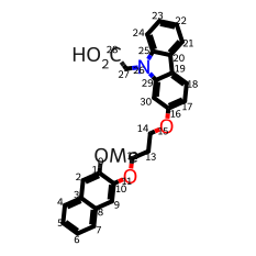 COc1cc2ccccc2cc1OCCCOc1ccc2c3ccccc3n(CC(=O)O)c2c1